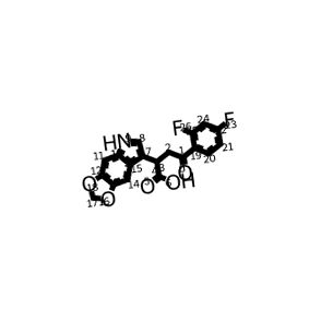 O=C(CC(C(=O)O)c1c[nH]c2cc3c(cc12)OCO3)c1ccc(F)cc1F